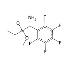 CC[Si](OC)(OC)C(N)c1c(F)c(F)c(F)c(F)c1F